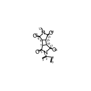 C=CC(=C)N1C(=O)C2C3C(=O)N(C)C(=O)C3C2C1=O